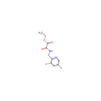 CCOC(=O)C(=O)NCc1ncc(F)cc1F